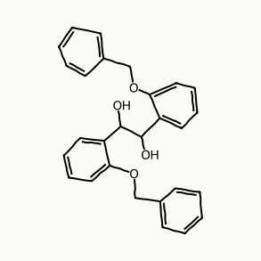 OC(c1ccccc1OCc1ccccc1)C(O)c1ccccc1OCc1ccccc1